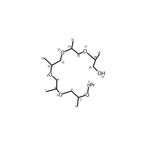 CCCOC(C)COC(C)COC(C)COC(C)COC(C)CO